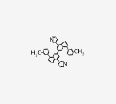 Cc1cccc(-c2cccc3c(-c4cccnc4)cc(-c4cc(-c5cccnc5)c5cccc(-c6cccc(C)c6)c5c4)cc23)c1